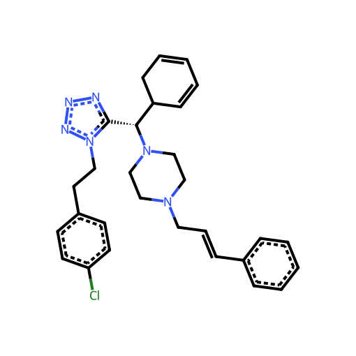 Clc1ccc(CCn2nnnc2[C@H](C2C=CC=CC2)N2CCN(C/C=C/c3ccccc3)CC2)cc1